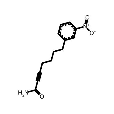 NC(=O)C#CCCCCc1cccc([N+](=O)[O-])c1